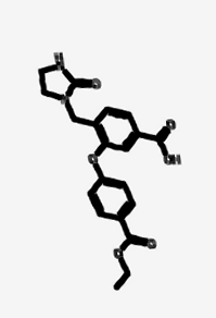 CCOC(=O)c1ccc(Oc2cc(C(=O)O)ccc2CN2CCNC2=O)cc1